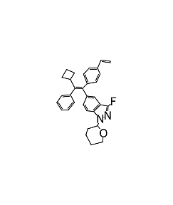 C=Cc1ccc(C(=C(c2ccccc2)C2CCC2)c2ccc3c(c2)c(F)nn3C2CCCCO2)cc1